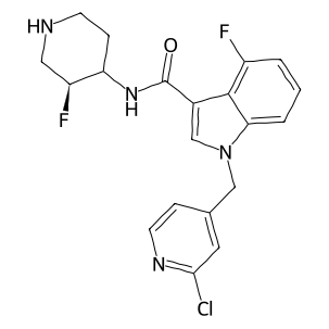 O=C(NC1CCNC[C@@H]1F)c1cn(Cc2ccnc(Cl)c2)c2cccc(F)c12